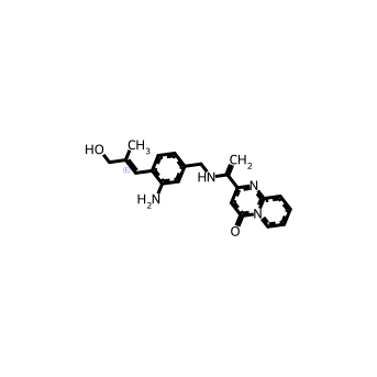 C=C(NCc1ccc(/C=C(\C)CO)c(N)c1)c1cc(=O)n2ccccc2n1